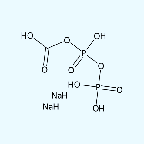 O=C(O)OP(=O)(O)OP(=O)(O)O.[NaH].[NaH]